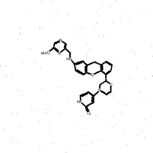 COc1cncc(CNc2ccc3c(c2)Cc2cccc(C4CN(c5cc[nH]c(=O)c5)CCO4)c2O3)n1